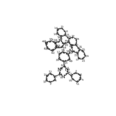 c1ccc(-c2nc(-c3ccccc3)nc(-c3cccc(-n4c5ccccc5c5ccc6c7ccccc7n7c8ccccc8cc7c6c54)c3)n2)cc1